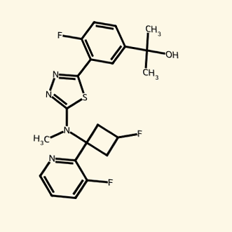 CN(c1nnc(-c2cc(C(C)(C)O)ccc2F)s1)C1(c2ncccc2F)CC(F)C1